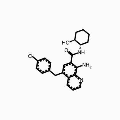 Nc1c(C(=O)N[C@H]2CCCC[C@@H]2O)cc(Cc2ccc(Cl)cc2)c2cccnc12